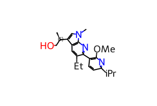 CCc1cc2c([C@H](C)CO)cn(C)c2nc1-c1ccc(C(C)C)nc1OC